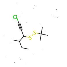 CCC(C)C(C#CCl)SSC(C)(C)C